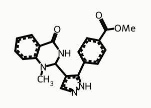 COC(=O)c1ccc(-c2[nH]ncc2C2NC(=O)c3ccccc3N2C)cc1